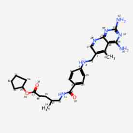 Cc1c(CNc2ccc(C(=O)NCC(C)CCC(=O)OC3CCCC3)cc2)cnc2nc(N)nc(N)c12